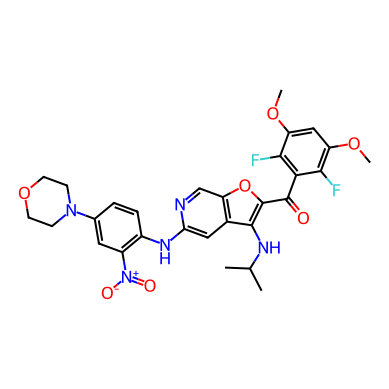 COc1cc(OC)c(F)c(C(=O)c2oc3cnc(Nc4ccc(N5CCOCC5)cc4[N+](=O)[O-])cc3c2NC(C)C)c1F